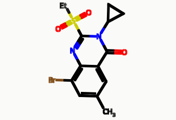 CCS(=O)(=O)c1nc2c(Br)cc(C)cc2c(=O)n1C1CC1